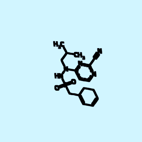 CC(C)CN(NS(=O)(=O)CC1=CC=CCC1)c1ccnc(C#N)n1